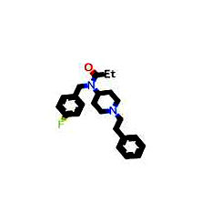 CCC(=O)N(Cc1ccc(F)cc1)C1CCN(CCc2ccccc2)CC1